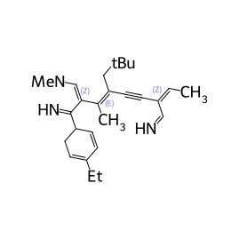 C/C=C(/C#C/C(CC(C)(C)C)=C(C)/C(=C/NC)C(=N)C1C=CC(CC)=CC1)C=N